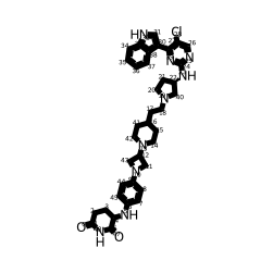 O=C1CCC(Nc2ccc(N3CC(N4CCC(CCN5CC[C@@H](Nc6ncc(Cl)c(-c7c[nH]c8ccccc78)n6)C5)CC4)C3)cc2)C(=O)N1